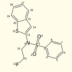 O=S(=O)(c1ccccc1)N(CCF)c1cc2ccccc2s1